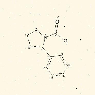 O=C(Cl)N1CCCC1c1ccccc1